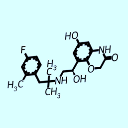 Cc1cc(F)ccc1CC(C)(C)NC[C@H](O)c1cc(O)cc2c1OCC(=O)N2